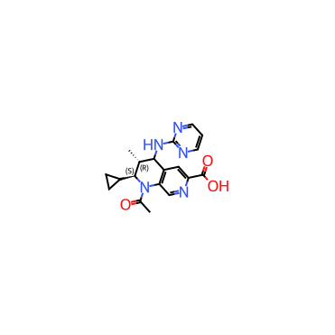 CC(=O)N1c2cnc(C(=O)O)cc2C(Nc2ncccn2)[C@@H](C)[C@@H]1C1CC1